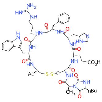 CCCC[C@@H]1NC(=O)N([C@@H](C)C(=O)N[C@H]2CSSC[C@@H](C(C)=O)NC(=O)[C@H](Cc3c[nH]c4ccccc34)NC(=O)[C@H](CCCNC(=N)N)NC(=O)[C@@H](Cc3ccccc3)NC(=O)[C@H](CC3CN=CN3)NC(=O)[C@H](CCC(=O)O)NC2=O)C1=O